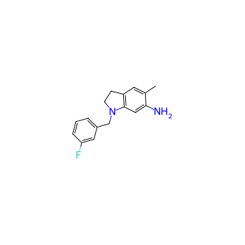 Cc1cc2c(cc1N)N(Cc1cccc(F)c1)CC2